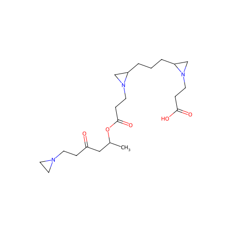 CC(CC(=O)CCN1CC1)OC(=O)CCN1CC1CCCC1CN1CCC(=O)O